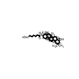 CCCCCCCCCCCCCCCC(=O)O[C@H]1CC[C@]2(C)[C@H]3CC=C4[C@@H]5CC(C)(C)CC[C@]5(CO)CC[C@@]4(C)[C@]3(C)CC[C@H]2C1(C)C